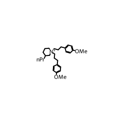 CCCC1CCC[N+](CCCc2ccc(OC)cc2)(CCCc2ccc(OC)cc2)C1